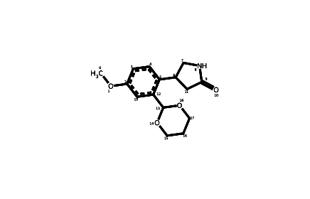 COc1ccc(C2CNC(=O)C2)c(C2OCCCO2)c1